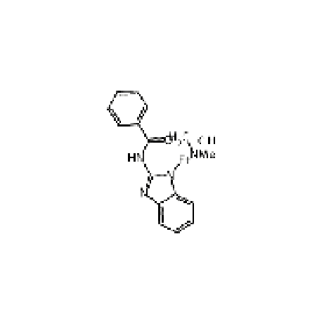 CCn1c(NC(=O)c2ccccc2)nc2ccccc21.CNC.Cl